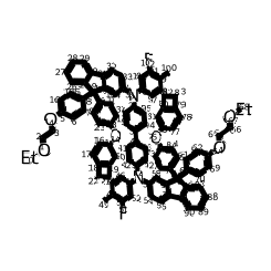 CCOCCOc1ccc(C2(c3ccc(Oc4ccc5c(c4)CC5)cc3)c3ccccc3-c3ccc(N(c4ccc(-c5ccc(N(c6ccc(C)c(F)c6)c6ccc7c(c6)C(c6ccc(OCCOCC)cc6)(c6ccc(Oc8ccc9c(c8)CC9)cc6)c6ccccc6-7)cc5)cc4)c4ccc(C)c(F)c4)cc32)cc1